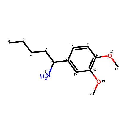 CCCCC(N)c1ccc(OC)c(OC)c1